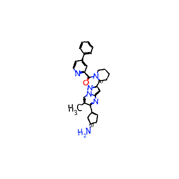 Cc1cn2nc([C@@H]3CCCCN3C(=O)c3cc(-c4ccccc4)ccn3)cc2nc1C1CC[C@H](N)C1